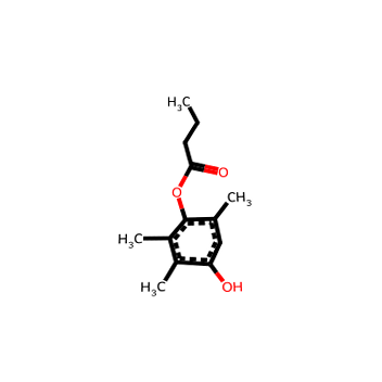 CCCC(=O)Oc1c(C)cc(O)c(C)c1C